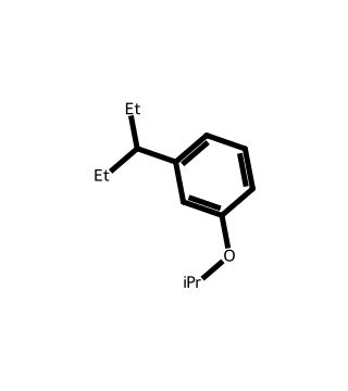 CCC(CC)c1cccc(OC(C)C)c1